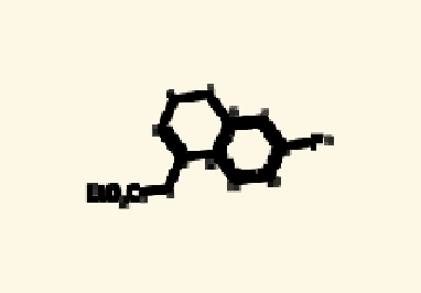 CCOC(=O)CC1=CCCc2cc(F)ccc21